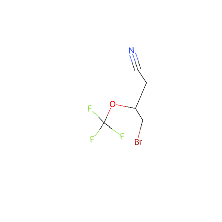 N#CCC(CBr)OC(F)(F)F